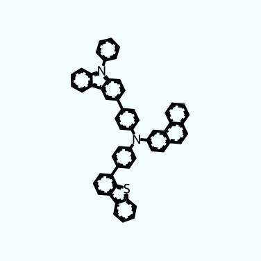 c1ccc(-n2c3ccccc3c3cc(-c4ccc(N(c5ccc(-c6cccc7c6sc6ccccc67)cc5)c5ccc6ccc7ccccc7c6c5)cc4)ccc32)cc1